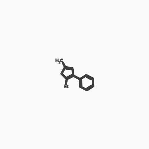 CCC1=C(c2ccccc2)C=C(C)C1